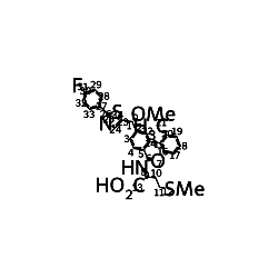 COC(c1ccc(C(=O)NC(CCSC)C(=O)O)c(-c2ccccc2C)c1)c1cnc(-c2ccc(F)cc2)s1